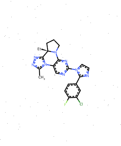 CC[C@@]12CCCN1c1nc(-n3ccnc3-c3ccc(F)c(Cl)c3)ncc1-n1c(C)nnc12